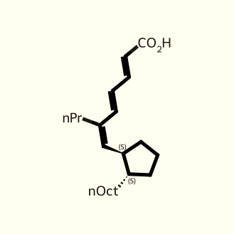 CCCCCCCC[C@H]1CCC[C@@H]1C=C(C=CC=CC(=O)O)CCC